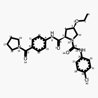 CCO[C@@H]1C[C@H](C(=O)Nc2ccc(C(=O)N3CCCC3)cc2)N(C(=O)Nc2ccc(Cl)cc2)C1